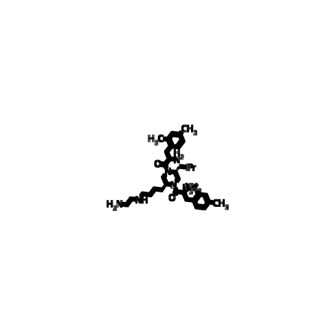 Cc1ccc(CC(N)C(=O)N2C[C@H](CCCCNCCN)N(C(=O)C(N)Cc3ccc(C)cc3C)C[C@H]2CC(C)C)c(C)c1